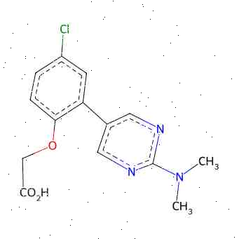 CN(C)c1ncc(-c2cc(Cl)ccc2OCC(=O)O)cn1